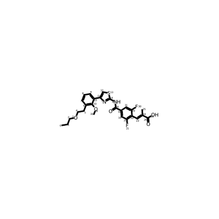 CCCOCCc1cccc(-c2csc(NC(=O)c3cc(F)c(C=C(C)C(=O)O)c(F)c3)n2)c1OC